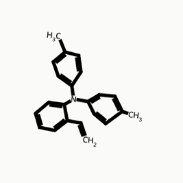 C=Cc1ccccc1N(c1ccc(C)cc1)c1ccc(C)cc1